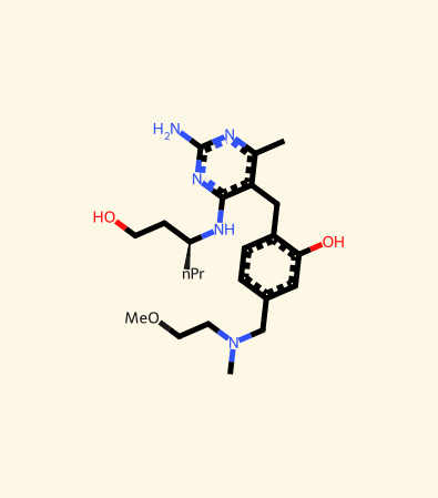 CCC[C@@H](CCO)Nc1nc(N)nc(C)c1Cc1ccc(CN(C)CCOC)cc1O